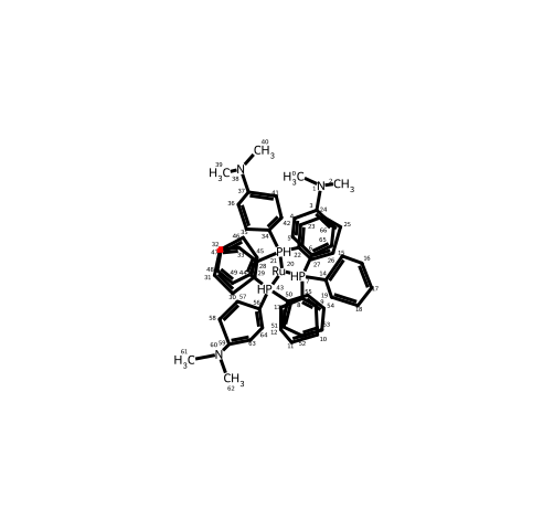 CN(C)c1ccc([PH](c2ccccc2)(c2ccccc2)[Ru]([PH](c2ccccc2)(c2ccccc2)c2ccc(N(C)C)cc2)[PH](c2ccccc2)(c2ccccc2)c2ccc(N(C)C)cc2)cc1